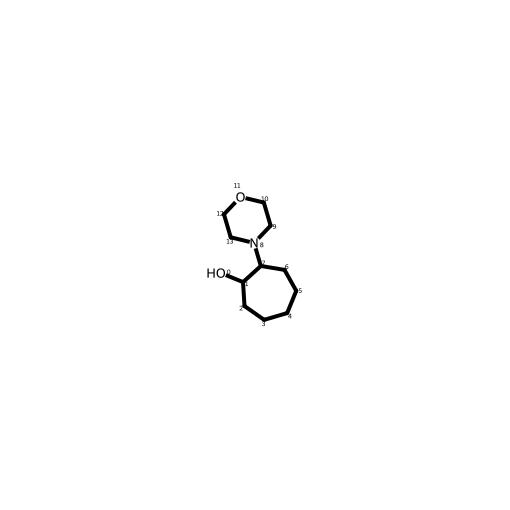 OC1CCCCCC1N1CCOCC1